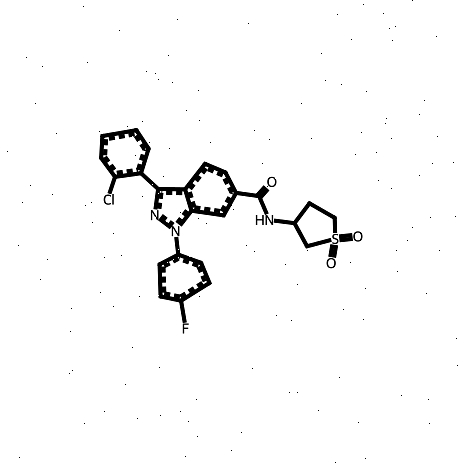 O=C(NC1CCS(=O)(=O)C1)c1ccc2c(-c3ccccc3Cl)nn(-c3ccc(F)cc3)c2c1